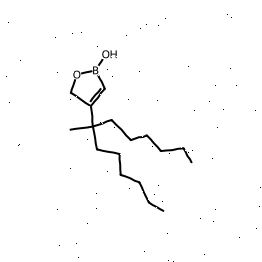 CCCCCCC(C)(CCCCCC)C1=CB(O)OC1